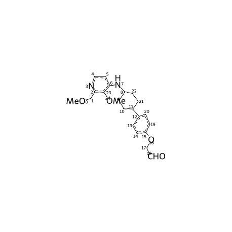 COCc1nccc(NC2CCC(c3ccc(OCC=O)cc3)CC2)c1OC